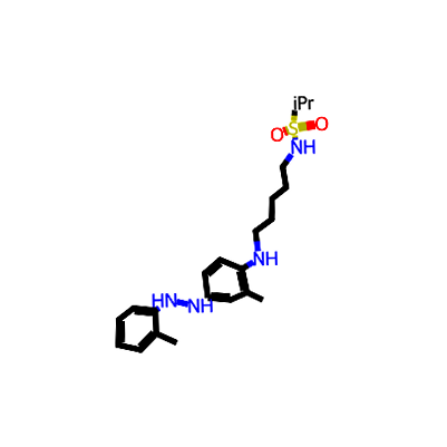 Cc1cc(NNc2ccccc2C)ccc1NCCCCCNS(=O)(=O)C(C)C